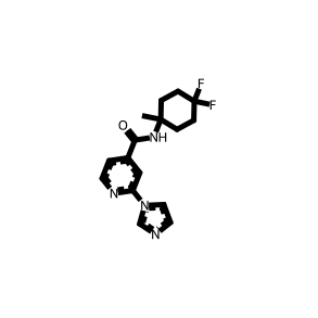 CC1(NC(=O)c2ccnc(-n3ccnc3)c2)CCC(F)(F)CC1